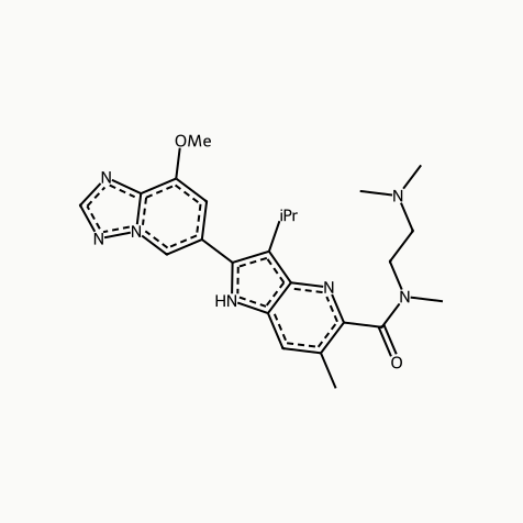 COc1cc(-c2[nH]c3cc(C)c(C(=O)N(C)CCN(C)C)nc3c2C(C)C)cn2ncnc12